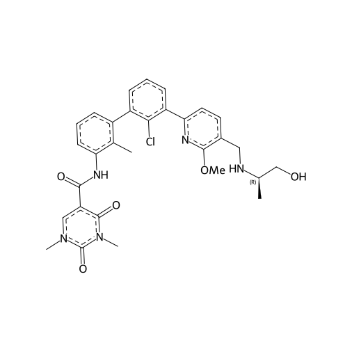 COc1nc(-c2cccc(-c3cccc(NC(=O)c4cn(C)c(=O)n(C)c4=O)c3C)c2Cl)ccc1CN[C@H](C)CO